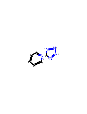 C1N=NN=N1.c1ccncc1